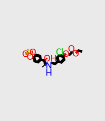 CCOC(=O)COc1ccc(CCN[C@@H](C)[C@H](O)c2ccc(OS(C)(=O)=O)cc2)cc1Cl